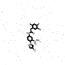 Cc1cc(F)c(Br)cc1CC(=O)Nc1ccc(-n2cc(Cl)cn2)c([S+](N)[O-])c1